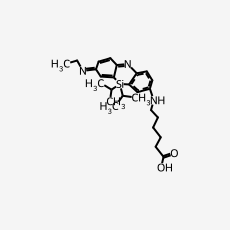 CC/N=C1\C=CC2=Nc3ccc(NCCCCCC(=O)O)cc3[Si](C(C)C)(C(C)C)C2=C1